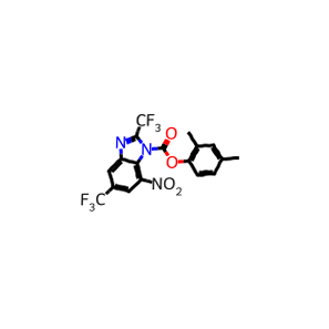 Cc1ccc(OC(=O)n2c(C(F)(F)F)nc3cc(C(F)(F)F)cc([N+](=O)[O-])c32)c(C)c1